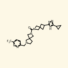 O=C(N1CC2(CC(c3nnc(C4CC4)[nH]3)C2)C1)N1CC2(CCN(Cc3ccc(C(F)(F)F)nn3)C2)C1